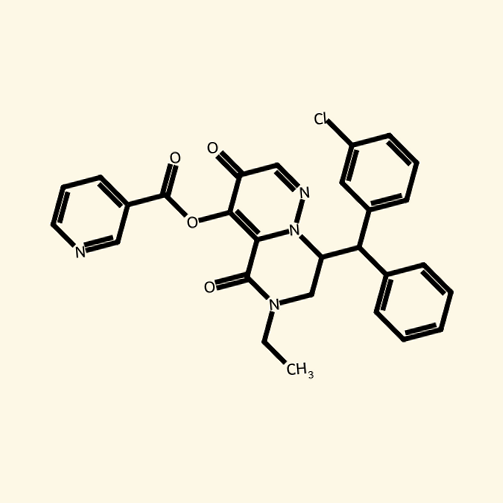 CCN1CC(C(c2ccccc2)c2cccc(Cl)c2)n2ncc(=O)c(OC(=O)c3cccnc3)c2C1=O